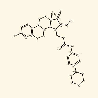 C[C@]12CCC3c4ccc(F)cc4CCC3C1[C@H](CCC(=O)Nc1ccc(N3CCOCC3)cn1)/C(=C/O)C2=O